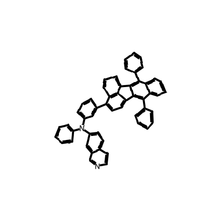 c1ccc(-c2c3c(c(-c4ccccc4)c4ccccc24)-c2ccc(-c4cccc(N(c5ccccc5)c5ccc6ccncc6c5)c4)c4cccc-3c24)cc1